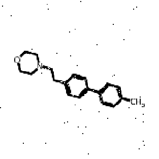 Cc1ccc(-c2ccc(CCN3CCOCC3)cc2)cc1